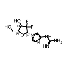 N=C(N)Nc1cn([C@@H]2O[C@H](CO)[C@@H](O)C2(F)F)cn1